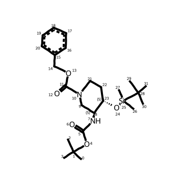 CC(C)(C)OC(=O)N[C@H]1CN(C(=O)OCc2ccccc2)CC[C@@H]1O[Si](C)(C)C(C)(C)C